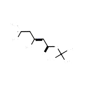 C[C@@H](O)C/C(O)=C/C(=O)OC(C)(C)C